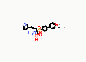 COc1ccc(-c2ccc(S(=O)(=O)C(N)(CC#Cc3cccnc3)C(=O)O)cc2)cc1